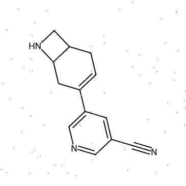 N#Cc1cncc(C2=CCC3CNC3C2)c1